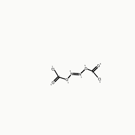 O=C(Cl)ON=NOC(=O)Cl